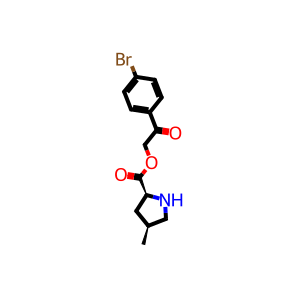 C[C@@H]1CN[C@H](C(=O)OCC(=O)c2ccc(Br)cc2)C1